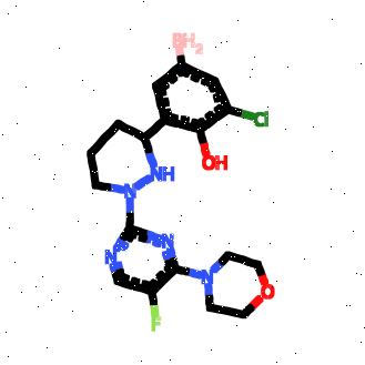 Bc1cc(Cl)c(O)c(C2CCCN(c3ncc(F)c(N4CCOCC4)n3)N2)c1